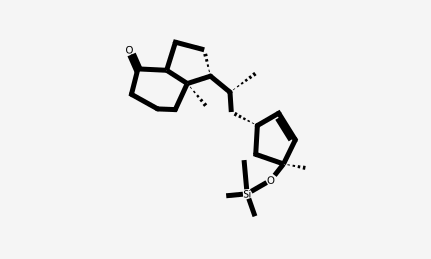 C[C@H](C[C@@H]1C=C[C@@](C)(O[Si](C)(C)C)C1)[C@H]1CCC2C(=O)CCC[C@@]21C